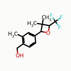 Cc1cc(C2OC(C(F)(F)F)C2(C)C)ccc1CO